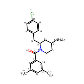 CC(=O)NC1CCN(C(=O)c2cc(C(F)(F)F)cc(C(F)(F)F)c2)C(Cc2ccc(Cl)cc2)C1